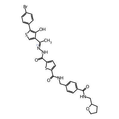 C/C(=N\NC(=O)c1ccc(C(=O)NCc2ccc(C(=O)NCC3CCCO3)cc2)s1)c1csc(-c2ccc(Br)cc2)c1O